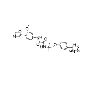 COc1cc(NC(=O)C(=O)NC(C)(C)COc2ccc(-c3nnn[nH]3)cc2)ccc1-c1cnco1